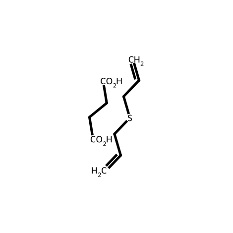 C=CCSCC=C.O=C(O)CCC(=O)O